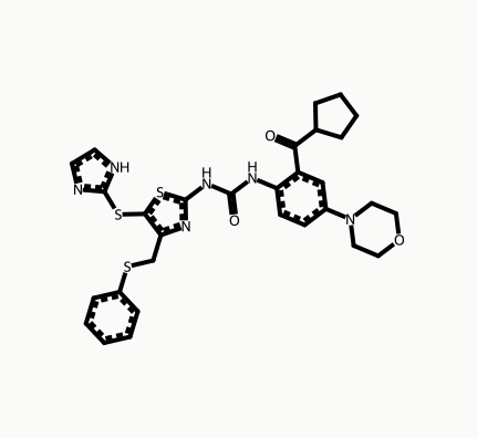 O=C(Nc1nc(CSc2ccccc2)c(Sc2ncc[nH]2)s1)Nc1ccc(N2CCOCC2)cc1C(=O)C1CCCC1